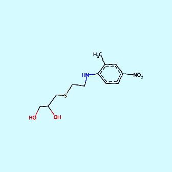 Cc1cc([N+](=O)[O-])ccc1NCCSCC(O)CO